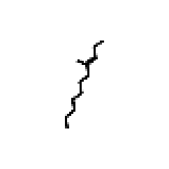 CC/C=C(\C)CCCCCCC